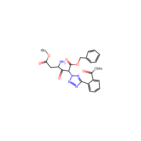 COC(=O)c1ccccc1-c1nnn(C(C(=O)OCc2ccccc2)C(=O)C(N)CC(=O)OC(C)(C)C)n1